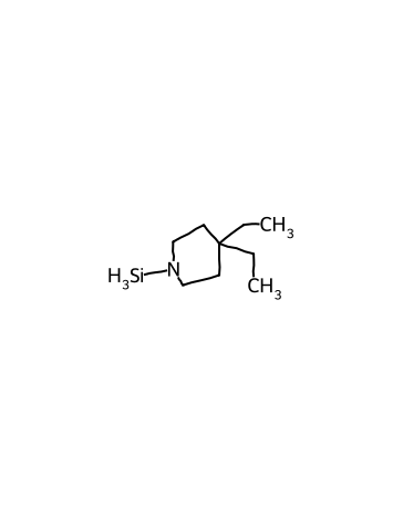 CCC1(CC)CCN([SiH3])CC1